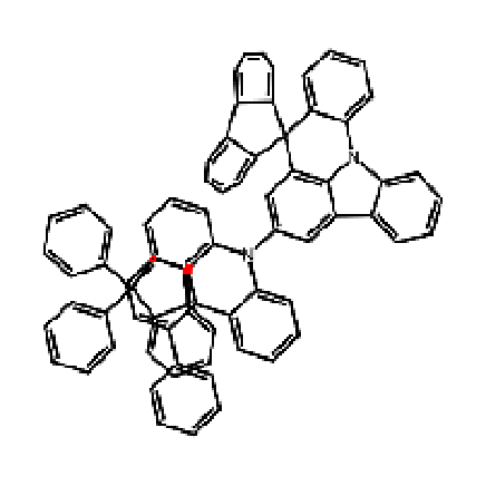 c1ccc(-c2ccccc2-c2ccccc2N(c2cc3c4c(c2)c2ccccc2n4-c2ccccc2C32c3ccccc3-c3ccccc32)c2cccc3c2-c2ccccc2C3(c2ccccc2)c2ccccc2)cc1